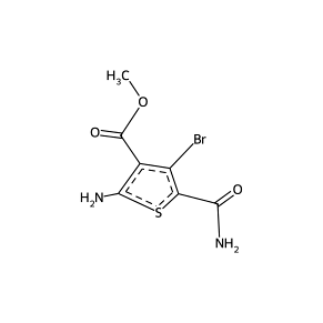 COC(=O)c1c(N)sc(C(N)=O)c1Br